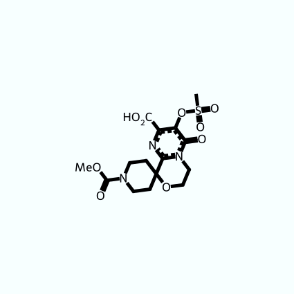 COC(=O)N1CCC2(CC1)OCCn1c2nc(C(=O)O)c(OS(C)(=O)=O)c1=O